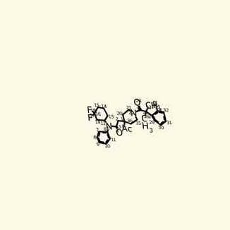 CC(=O)C1(CC(=O)N(c2ccccc2)C2CCCC(F)(F)C2)CCN(C(=O)C(C)(C)c2ccccc2F)CC1